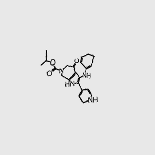 CC(C)OC(=O)N1CC(=O)c2c([nH]c(C3=CCNC=C3)c2NC2=CCCC=C2)C1